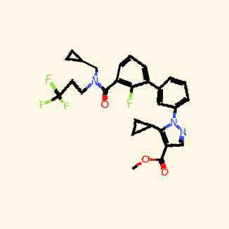 COC(=O)c1cnn(-c2cccc(-c3cccc(C(=O)N(CCC(F)(F)F)CC4CC4)c3F)c2)c1C1CC1